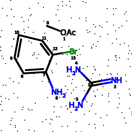 COC(C)=O.N=C(N)N.Nc1ccccc1Br